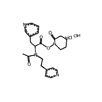 CC(=O)N(CCc1ccncc1)C(Cc1cccnc1)C(=O)ON1CCCCC1=O.Cl.Cl